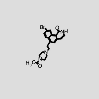 CC(=O)N1CCN(CCc2cc3cc[nH]c(=O)c3c3cc(Br)ccc23)CC1